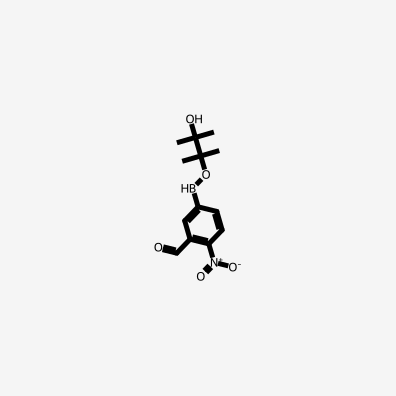 CC(C)(O)C(C)(C)OBc1ccc([N+](=O)[O-])c(C=O)c1